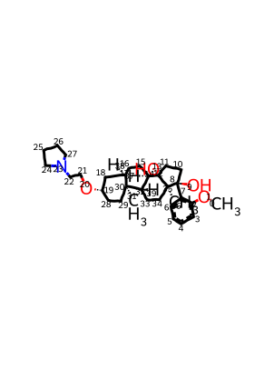 COc1ccccc1[C@@]1(O)CC[C@]2(O)[C@@H]3CC[C@@H]4C[C@@H](OCCN5CCCC5)CC[C@]4(C)[C@H]3CC[C@]12C